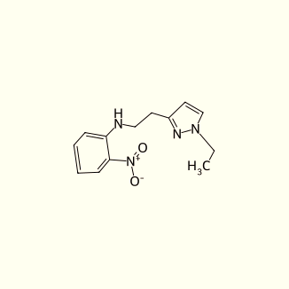 CCn1ccc(CCNc2ccccc2[N+](=O)[O-])n1